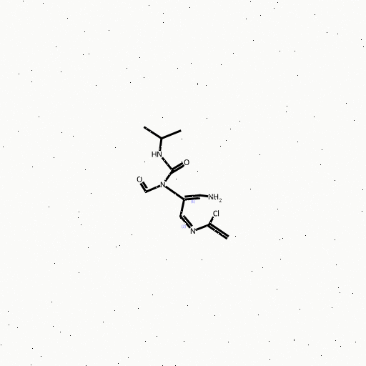 C=C(Cl)/N=C\C(=C/N)N(C=O)C(=O)NC(C)C